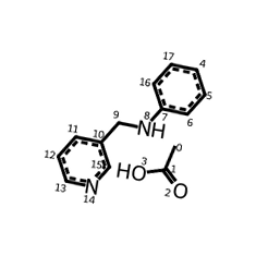 CC(=O)O.c1ccc(NCc2cccnc2)cc1